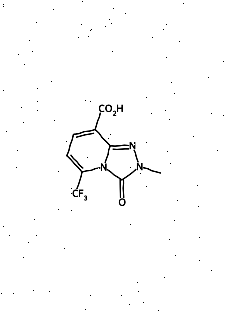 Cn1nc2c(C(=O)O)ccc(C(F)(F)F)n2c1=O